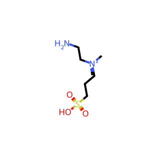 C/[N+](=C/CCS(=O)(=O)O)CCN